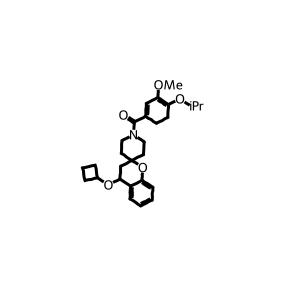 COC1=C(OC(C)C)CCC(C(=O)N2CCC3(CC2)CC(OC2CCC2)c2ccccc2O3)=C1